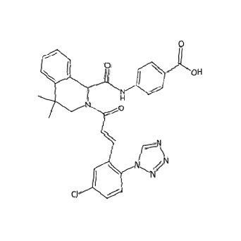 CC1(C)CN(C(=O)/C=C/c2cc(Cl)ccc2-n2cnnn2)C(C(=O)Nc2ccc(C(=O)O)cc2)c2ccccc21